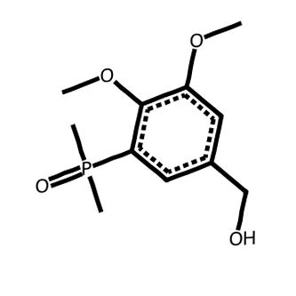 COc1cc(CO)cc(P(C)(C)=O)c1OC